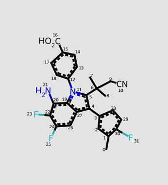 Cc1cc(-c2c(C(C)(C)CC#N)n(-c3ccc(C(=O)O)cc3)c3c(N)c(F)c(F)cc23)ccc1F